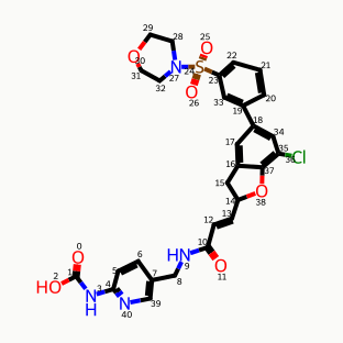 O=C(O)Nc1ccc(CNC(=O)C=CC2Cc3cc(-c4cccc(S(=O)(=O)N5CCOCC5)c4)cc(Cl)c3O2)cn1